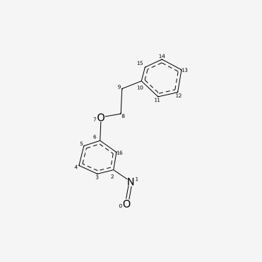 O=Nc1cccc(OCCc2ccccc2)c1